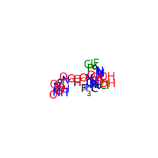 Cc1nc([C@@H]2O[C@H](CO)[C@H](O)[C@H](n3cc(-c4cc(F)c(Cl)c(F)c4)nn3)[C@H]2OCC(=O)NCCOCCOCCOCCNC(=O)c2ccc3c(c2)C(=O)N(C2CCC(=O)NC2=O)C3=O)n(-c2cc(Cl)ccc2C(F)(F)F)n1